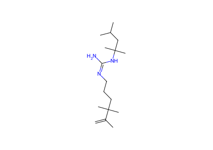 C=C(C)C(C)(C)CCCN=C(N)NC(C)(C)CC(C)C